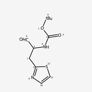 CC(C)(C)OC(=O)NC(C=O)Cc1nccs1